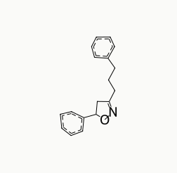 c1ccc(CCCC2=NOC(c3ccccc3)C2)cc1